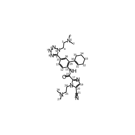 CN(C)CCn1nnnc1-c1ccc(NC(=O)c2ncc(C#N)n2CCN(C)C)c(C2=CCCCC2)c1